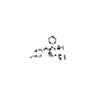 Cc1ccc(CC2N=CC(O)=C(O)N2C2CCCCC2)cc1